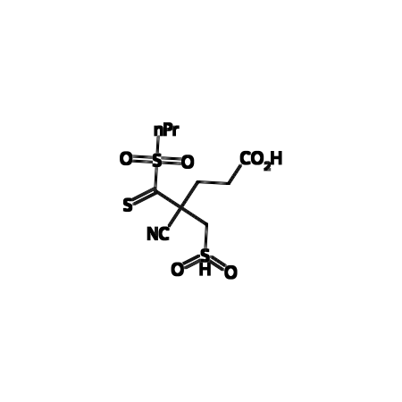 CCCS(=O)(=O)C(=S)C(C#N)(CCC(=O)O)C[SH](=O)=O